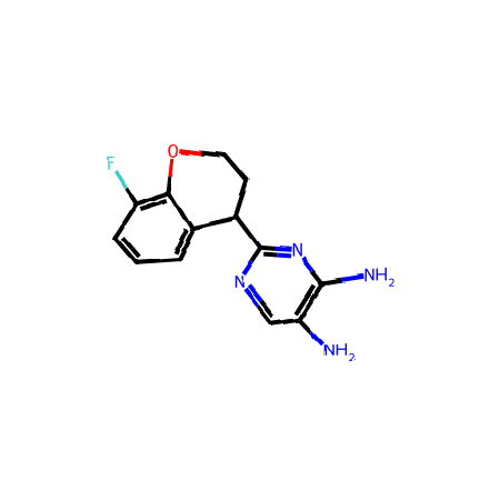 Nc1cnc(C2CCOc3c(F)cccc32)nc1N